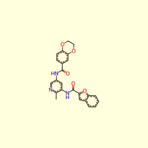 Cc1ncc(NC(=O)c2ccc3c(c2)OCCO3)cc1NC(=O)c1cc2ccccc2o1